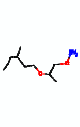 CCC(C)CCOC(C)CON